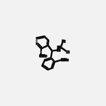 CCC(c1ccccc1OC)c1ccccc1OC.CCNCC